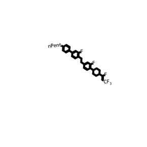 CCCCCc1ccc(-c2ccc(CCc3ccc(C4CCC(/C(F)=C/C(F)(F)F)CC4)c(F)c3)c(F)c2)cc1